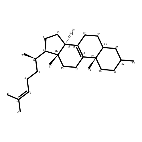 CC(C)=CCC[C@@H](C)[C@H]1CC[C@H]2C3=C(CC[C@]12C)[C@@]1(C)CCC(C)CC1CC3